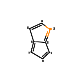 C1=CC2=PC=CC2=C1